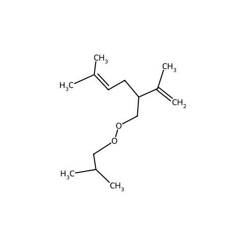 C=C(C)C(CC=C(C)C)COOCC(C)C